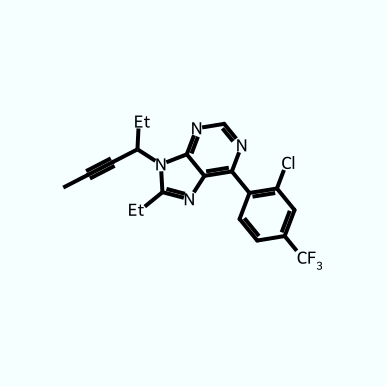 CC#CC(CC)n1c(CC)nc2c(-c3ccc(C(F)(F)F)cc3Cl)ncnc21